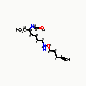 C#CCCCONCCCCC(N=C=O)C(=O)O